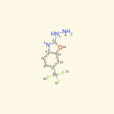 NNc1nc2ccc(C(F)(F)F)cc2o1